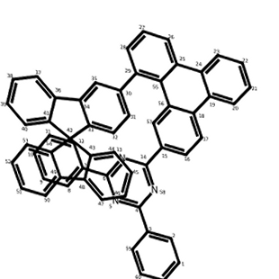 c1ccc(-c2nc(-c3ccccc3)nc(-c3ccc4c5ccccc5c5cccc(-c6ccc7c(c6)-c6ccccc6C76c7ccccc7-c7ccccc76)c5c4c3)n2)cc1